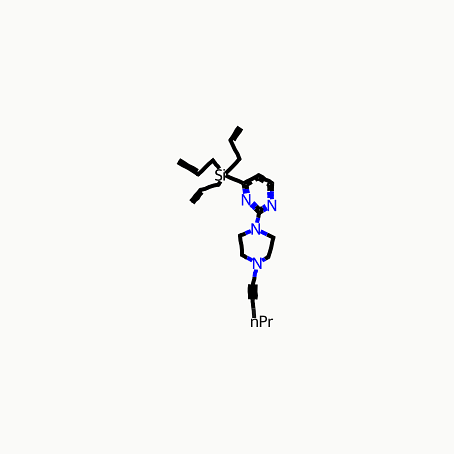 C=CC[Si](CC=C)(CC=C)c1ccnc(N2CCN(C#CCCC)CC2)n1